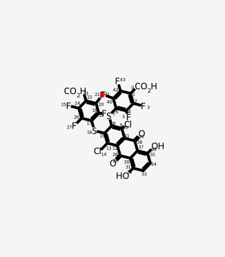 O=C(O)c1c(F)c(F)c(Sc2c(Cl)c3c(c(Cl)c2Sc2c(F)c(F)c(C(=O)O)c(F)c2F)C(=O)c2c(O)ccc(O)c2C3=O)c(F)c1F